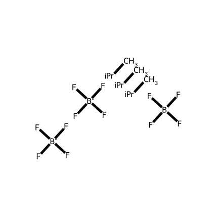 CC(C)C.CC(C)C.CC(C)C.F[B-](F)(F)F.F[B-](F)(F)F.F[B-](F)(F)F